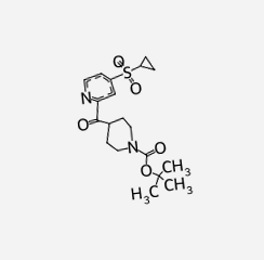 CC(C)(C)OC(=O)N1CCC(C(=O)c2cc(S(=O)(=O)C3CC3)ccn2)CC1